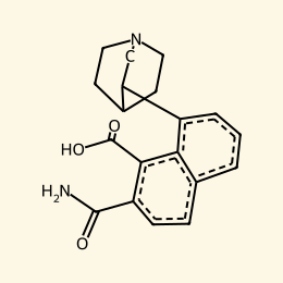 NC(=O)c1ccc2cccc(C3CN4CCC3CC4)c2c1C(=O)O